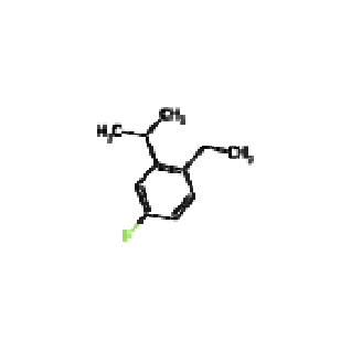 CCc1ccc(F)cc1C(C)C